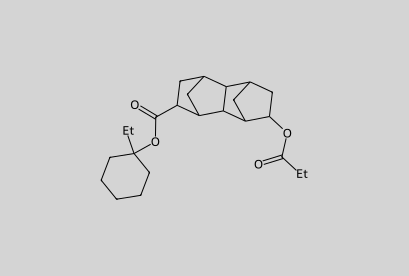 CCC(=O)OC1CC2CC1C1C3CC(CC3C(=O)OC3(CC)CCCCC3)C21